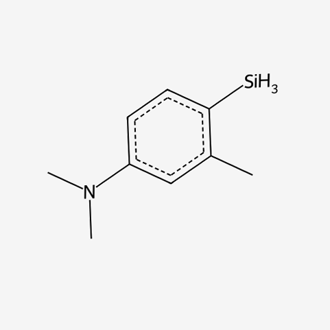 Cc1cc(N(C)C)ccc1[SiH3]